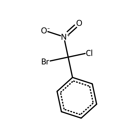 O=[N+]([O-])C(Cl)(Br)c1ccccc1